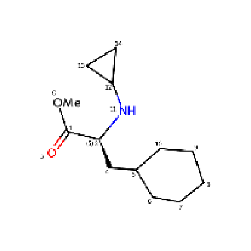 COC(=O)[C@H](CC1CCCCC1)NC1CC1